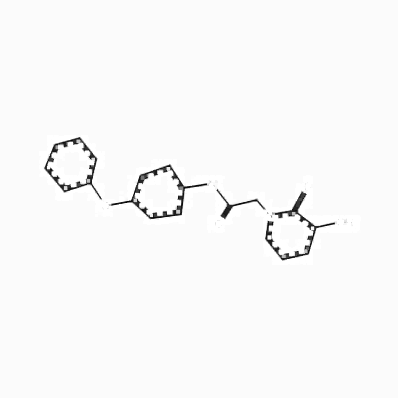 O=C(Cn1cccc(O)c1=O)Nc1ccc(Oc2ccccc2)cc1